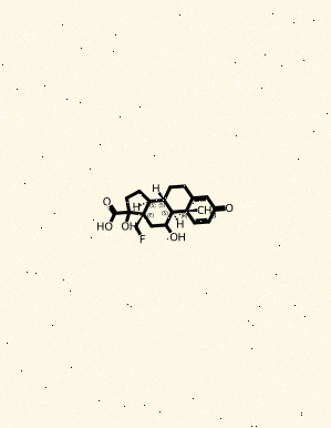 C[C@]12C=CC(=O)C=C1CC[C@H]1[C@@H]3CCC(O)(C(=O)O)[C@@]3(CF)CC(O)[C@@H]12